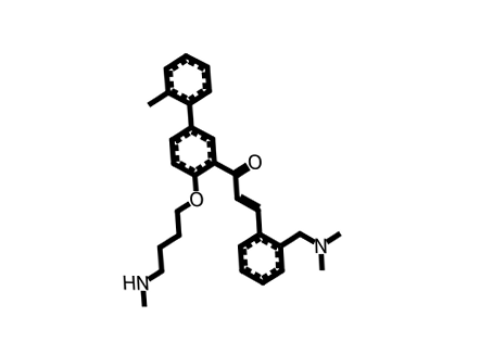 CNCCCCOc1ccc(-c2ccccc2C)cc1C(=O)C=Cc1ccccc1CN(C)C